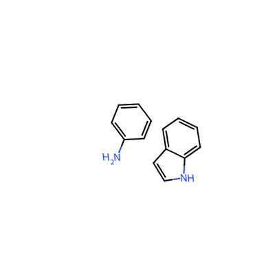 Nc1ccccc1.c1ccc2[nH]ccc2c1